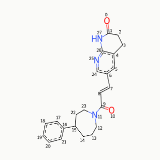 O=C1CCc2cc(/C=C/C(=O)N3CCCC(c4ccccc4)CC3)cnc2N1